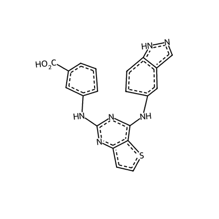 O=C(O)c1cccc(Nc2nc(Nc3ccc4[nH]ncc4c3)c3sccc3n2)c1